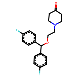 O=C1CCN(CCOC(c2ccc(F)cc2)c2ccc(F)cc2)CC1